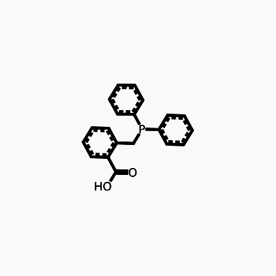 O=C(O)c1ccccc1CP(c1ccccc1)c1ccccc1